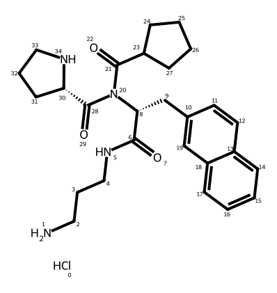 Cl.NCCCNC(=O)[C@@H](Cc1ccc2ccccc2c1)N(C(=O)C1CCCC1)C(=O)[C@@H]1CCCN1